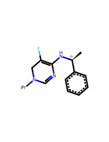 CC(C)N1C=NC(N[C@@H](C)c2ccccc2)=C(F)C1